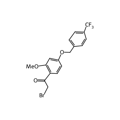 COc1cc(OCc2ccc(C(F)(F)F)cc2)ccc1C(=O)CBr